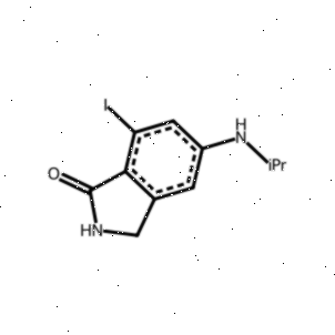 CC(C)Nc1cc(I)c2c(c1)CNC2=O